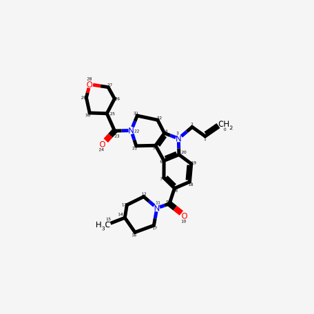 C=CCn1c2c(c3cc(C(=O)N4CCC(C)CC4)ccc31)CN(C(=O)C1CCOCC1)CC2